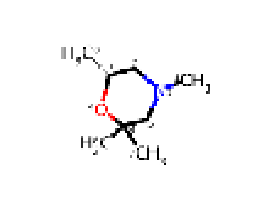 C[C@@H]1CN(C)CC(C)(C)O1